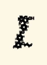 CCCCOc1ccc(C)cc1-c1ccc(COc2ccc([C@H](CC(=O)O)c3nnnn3C)cc2)cc1